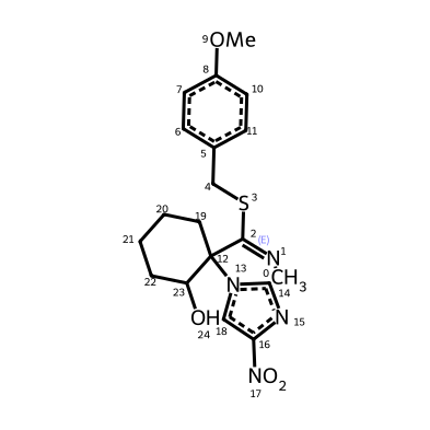 C/N=C(/SCc1ccc(OC)cc1)C1(n2cnc([N+](=O)[O-])c2)CCCCC1O